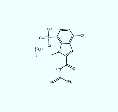 CS(=O)(=O)O.Cn1c(C(=O)NC(=N)N)cc2c(C(F)(F)F)ccc(P(=O)(O)O)c21